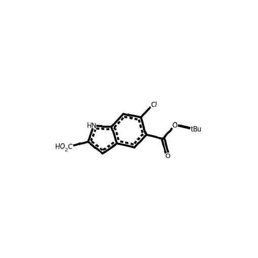 CC(C)(C)OC(=O)c1cc2cc(C(=O)O)[nH]c2cc1Cl